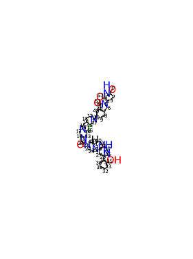 O=C1CCC(N2Cc3ccc(N4CC[C@H](CN5CCN(C(=O)N6CCN7c8cc(-c9ccccc9O)nnc8NC[C@H]7C6)CC5)[C@@H](F)C4)cc3C2=O)C(=O)N1